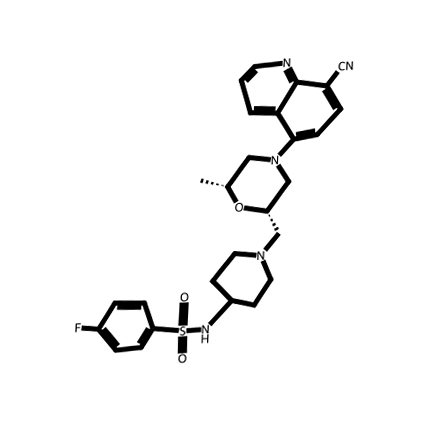 C[C@@H]1CN(c2ccc(C#N)c3ncccc23)C[C@H](CN2CCC(NS(=O)(=O)c3ccc(F)cc3)CC2)O1